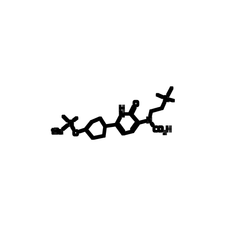 CC(C)(C)[Si](C)(C)OC1CCC(c2ccc(N(CC[Si](C)(C)C)C(=O)O)c(=O)[nH]2)CC1